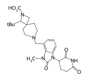 Cn1c(=O)n(C2CCC(=O)NC2=O)c2cccc(CN3CCC4(CC3)CN(C(=O)O)C4C(C)(C)C)c21